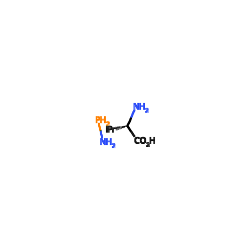 CC(C)[C@H](N)C(=O)O.NP